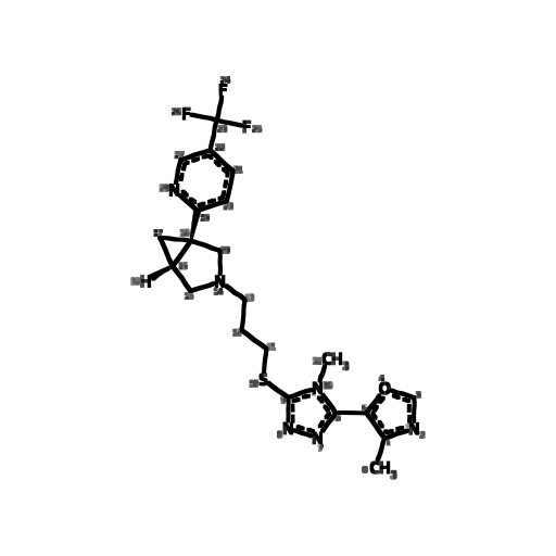 Cc1ncoc1-c1nnc(SCCCN2C[C@@H]3C[C@]3(c3ccc(C(F)(F)F)cn3)C2)n1C